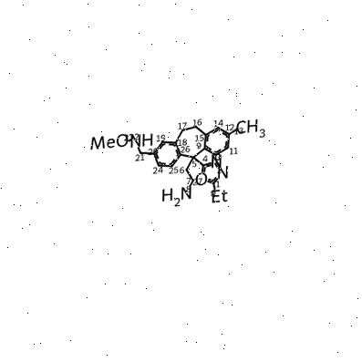 CCc1nnc(C2(CCN)c3ccc(C)cc3CCc3cc(CNOC)ccc32)o1